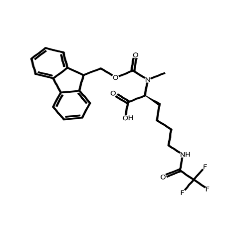 CN(C(=O)OCC1c2ccccc2-c2ccccc21)[C@@H](CCCCNC(=O)C(F)(F)F)C(=O)O